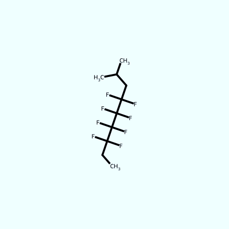 CCC(F)(F)C(F)(F)C(F)(F)C(F)(F)CC(C)C